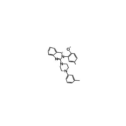 COc1ccc(C)cc1N1[C]c2ccccc2N=C1N1CCN(c2cccc(C)c2)CC1